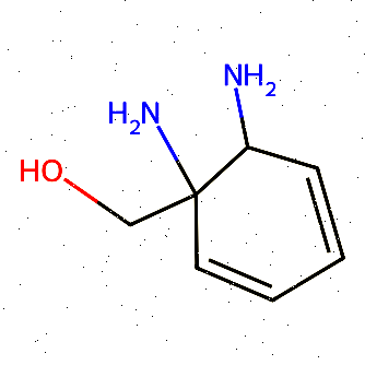 NC1C=CC=CC1(N)CO